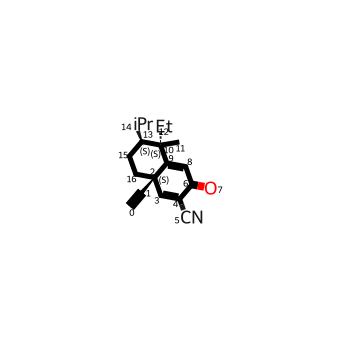 C#C[C@]12C=C(C#N)C(=O)C=C1[C@@](C)(CC)[C@H](C(C)C)CC2